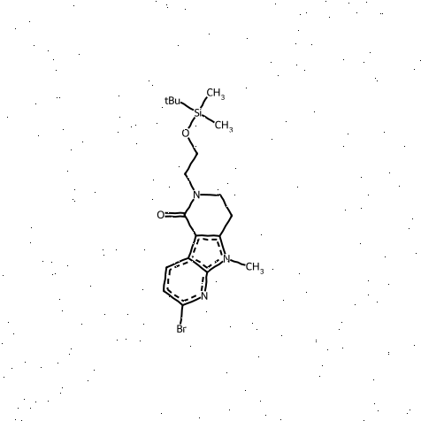 Cn1c2c(c3ccc(Br)nc31)C(=O)N(CCO[Si](C)(C)C(C)(C)C)CC2